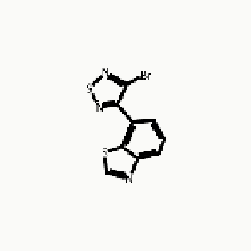 Brc1nsnc1-c1cccc2ncsc12